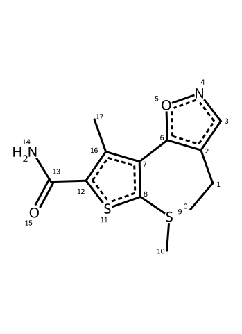 CCc1cnoc1-c1c(SC)sc(C(N)=O)c1C